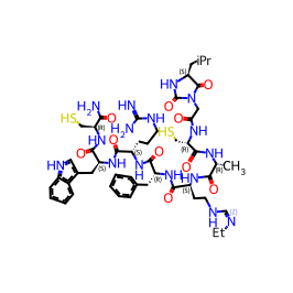 CC/N=C\NCC[C@H](NC(=O)[C@@H](C)NC(=O)[C@H](CS)NC(=O)CN1C(=O)N[C@@H](CC(C)C)C1=O)C(=O)N[C@H](Cc1ccccc1)C(=O)N[C@@H](CCCNC(=N)N)C(=O)N[C@@H](Cc1c[nH]c2ccccc12)C(=O)N[C@@H](CS)C(N)=O